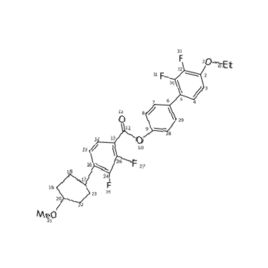 CCOc1ccc(-c2ccc(OC(=O)c3ccc(C4CCC(OC)CC4)c(F)c3F)cc2)c(F)c1F